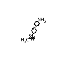 Cc1nnc(C2CCN(c3ccc(N)cc3)CC2)s1